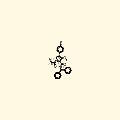 COC1[C@@H](c2ccc(F)cc2)CN(C(=O)[C@H](C)N)[C@@H]1C(=O)NC(c1ccccc1)c1ccccc1